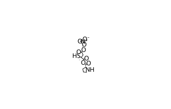 C[C@](S)(CC(=O)OCO[N+](=O)[O-])C(=O)OC(=O)[C@@H]1CCCN1